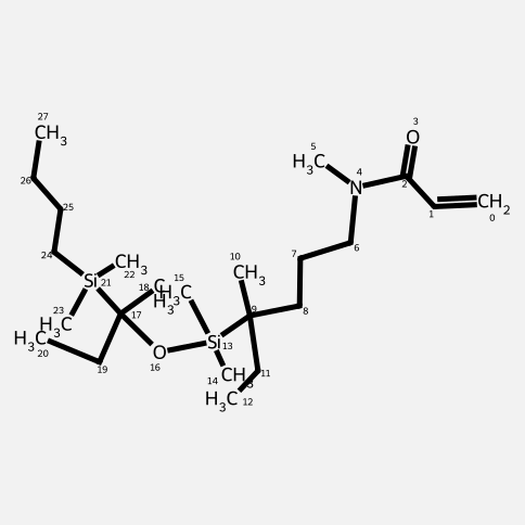 C=CC(=O)N(C)CCCC(C)(CC)[Si](C)(C)OC(C)(CC)[Si](C)(C)CCCC